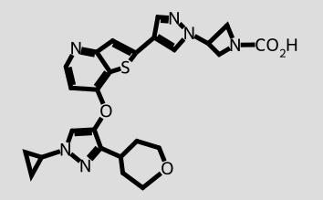 O=C(O)N1CC(n2cc(-c3cc4nccc(Oc5cn(C6CC6)nc5C5CCOCC5)c4s3)cn2)C1